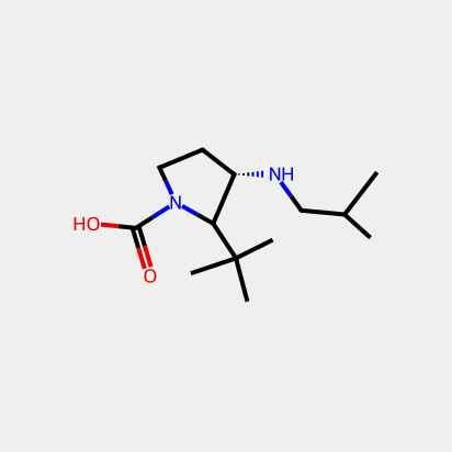 CC(C)CN[C@H]1CCN(C(=O)O)C1C(C)(C)C